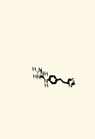 N=C(NN)Nc1ccc(CCc2cs[c]n2)cc1